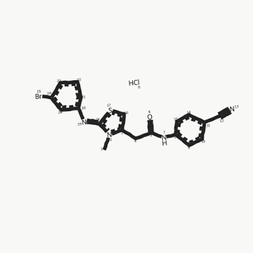 Cl.Cn1c(CC(=O)Nc2ccc(C#N)cc2)csc1=Nc1cccc(Br)c1